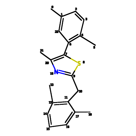 Cc1ccc(C)c(-c2sc(Cc3c(C)cccc3C)nc2C)c1